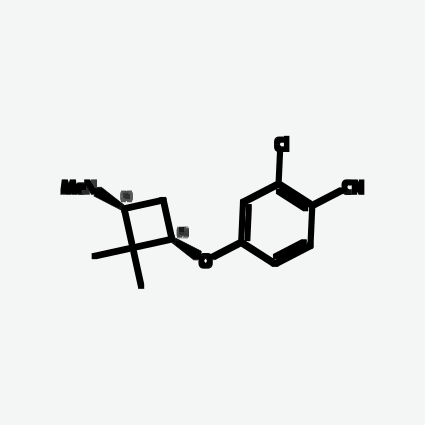 CN[C@H]1C[C@@H](Oc2ccc(C#N)c(Cl)c2)C1(C)C